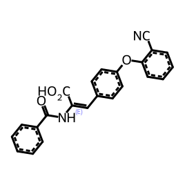 N#Cc1ccccc1Oc1ccc(/C=C(/NC(=O)c2ccccc2)C(=O)O)cc1